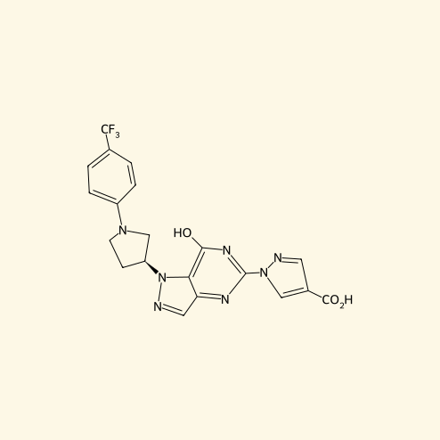 O=C(O)c1cnn(-c2nc(O)c3c(cnn3[C@H]3CCN(c4ccc(C(F)(F)F)cc4)C3)n2)c1